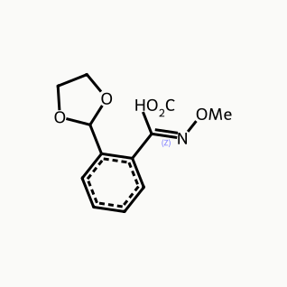 CO/N=C(\C(=O)O)c1ccccc1C1OCCO1